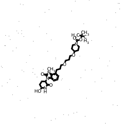 Cn1c(=O)n(C2CCC(O)NC2=O)c2cccc(CCCOCCCOC3CCN(C(=O)OC(C)(C)C)CC3)c21